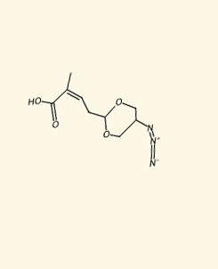 CC(=CCC1OCC(N=[N+]=[N-])CO1)C(=O)O